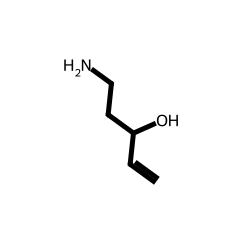 C=CC(O)CCN